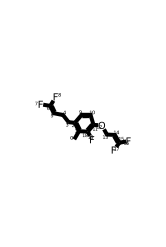 Cc1c(CCC=C(F)F)ccc(OCC=C(F)F)c1F